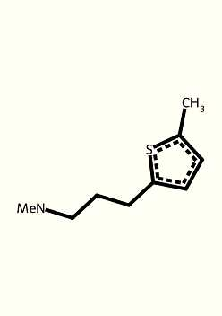 CNCCCc1ccc(C)s1